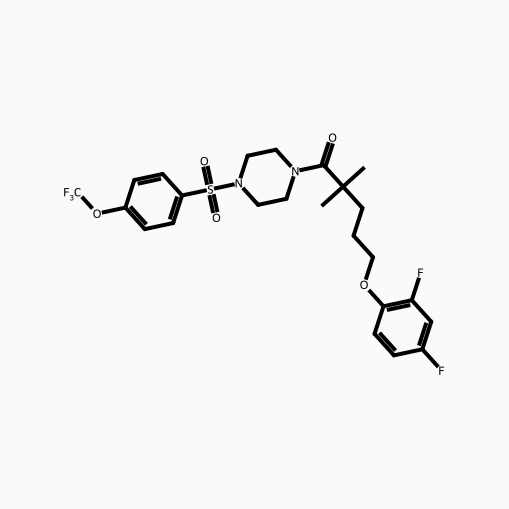 CC(C)(CCCOc1ccc(F)cc1F)C(=O)N1CCN(S(=O)(=O)c2ccc(OC(F)(F)F)cc2)CC1